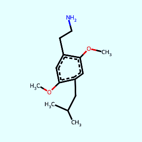 COc1cc(CC(C)C)c(OC)cc1CCN